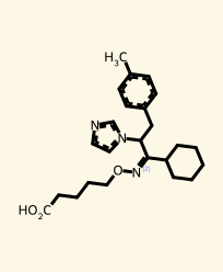 Cc1ccc(CC(/C(=N\OCCCCC(=O)O)C2CCCCC2)n2ccnc2)cc1